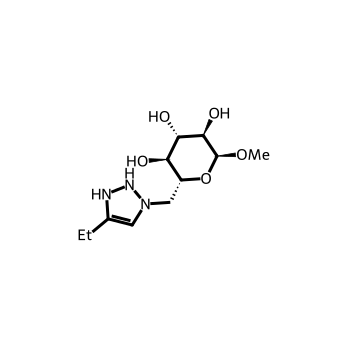 CCC1=CN(C[C@H]2O[C@H](OC)[C@H](O)[C@@H](O)[C@@H]2O)NN1